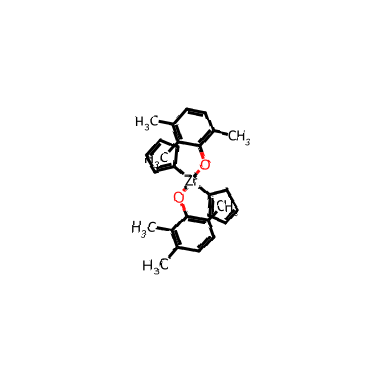 Cc1ccc(C)c([O][Zr]([O]c2c(C)ccc(C)c2C)([C]2=CC=CC2)[C]2=CC=CC2)c1C